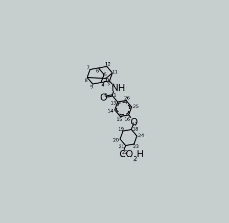 O=C(NC1C2CC3CC(C2)CC1C3)c1ccc(OC2CCC(C(=O)O)CC2)cc1